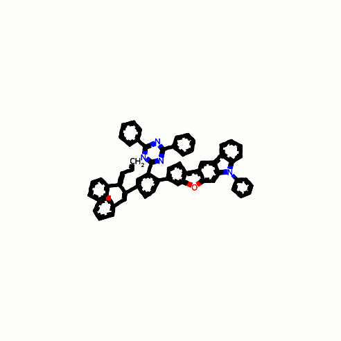 C=C/C=C(\C(=C/c1ccccc1)c1ccc(-c2ccc3c(c2)oc2cc4c(cc23)c2ccccc2n4-c2ccccc2)c(-c2nc(-c3ccccc3)nc(-c3ccccc3)n2)c1)c1ccccc1